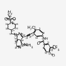 Cc1ccc(NC(=O)c2ccc(Cl)c(C(F)(F)F)c2)cc1C#Cc1nn(CC2CCN(S(C)(=O)=O)CC2)c2ncnc(N)c12